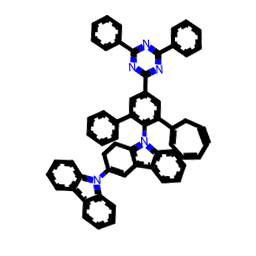 C1#CCC(c2cc(-c3nc(-c4ccccc4)nc(-c4ccccc4)n3)cc(-c3ccccc3)c2-n2c3c(c4ccccc42)C=C(n2c4ccccc4c4ccccc42)CC3)=CC=C1